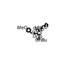 CCCCS(=O)(=O)OC1=C(C(=O)OCc2ccc(OC)cc2)N2C(=O)C(NC(=O)Cc3ccco3)[C@@H]2SC1